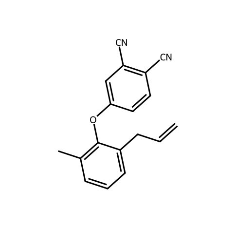 C=CCc1cccc(C)c1Oc1ccc(C#N)c(C#N)c1